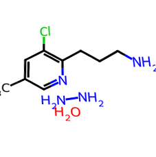 NCCCc1ncc(C(F)(F)F)cc1Cl.NN.O